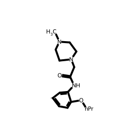 CCCOc1cc[c]cc1NC(=O)CN1CCN(C)CC1